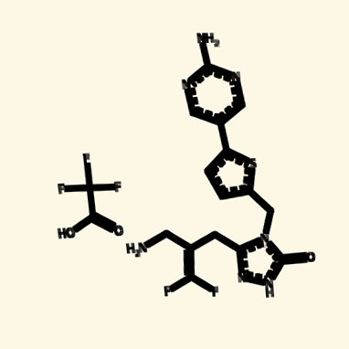 NCC(Cc1n[nH]c(=O)n1Cc1ccc(-c2cnc(N)nc2)s1)=C(F)F.O=C(O)C(F)(F)F